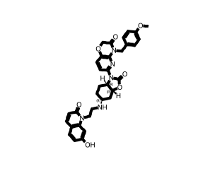 COc1ccc(CN2C(=O)COc3ccc(N4C(=O)O[C@@H]5C[C@H](NCCn6c(=O)ccc7ccc(O)cc76)CC[C@H]54)nc32)cc1